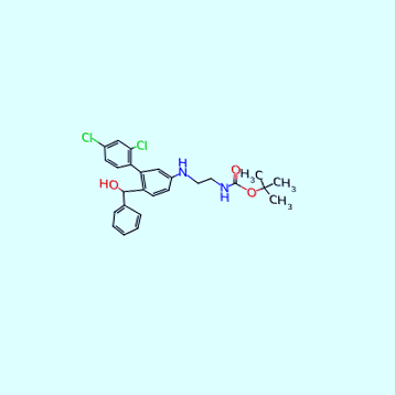 CC(C)(C)OC(=O)NCCNc1ccc(C(O)c2ccccc2)c(-c2ccc(Cl)cc2Cl)c1